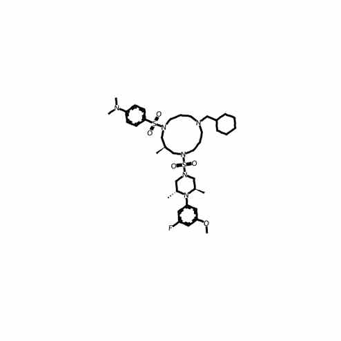 COc1cc(F)cc(N2[C@H](C)CN(S(=O)(=O)N3CCCN(CC4CCCCC4)CCCN(S(=O)(=O)c4ccc(N(C)C)cc4)C[C@H](C)C3)C[C@H]2C)c1